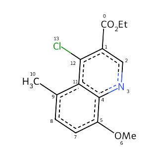 CCOC(=O)c1cnc2c(OC)ccc(C)c2c1Cl